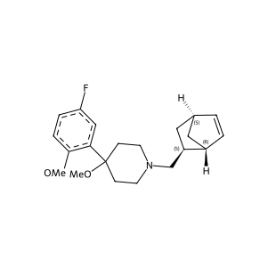 COc1ccc(F)cc1C1(OC)CCN(C[C@H]2C[C@H]3C=C[C@H]2C3)CC1